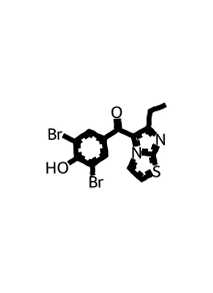 CCc1nc2sccn2c1C(=O)c1cc(Br)c(O)c(Br)c1